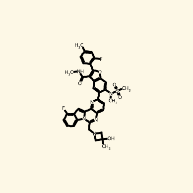 CNC(=O)c1c(-c2ccc(C)cc2F)oc2cc(N(C)S(C)(=O)=O)c(-c3ccc4nc(CN5CC(C)(O)C5)n5c6cccc(F)c6cc5c4n3)cc12